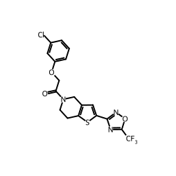 O=C(COc1cccc(Cl)c1)N1CCc2sc(-c3noc(C(F)(F)F)n3)cc2C1